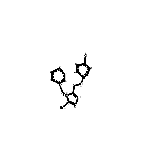 Clc1ccc(OCC2=NN=C(Br)[SH]2Cc2ccccc2)cc1